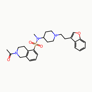 CC(=O)N1CCc2c(cccc2S(=O)(=O)N(C)C2CCN(CCc3coc4ccccc34)CC2)C1